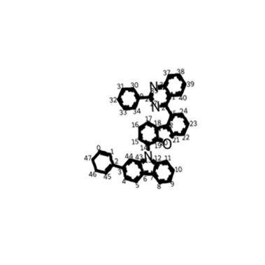 C1=CC(c2ccc3c4ccccc4n(-c4cccc5c4oc4cccc(-c6nc(-c7ccccc7)nc7ccccc67)c45)c3c2)=CCC1